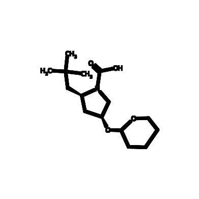 CC(C)(C)C[C@@H]1C[C@H](OC2CCCCO2)CN1C(=O)O